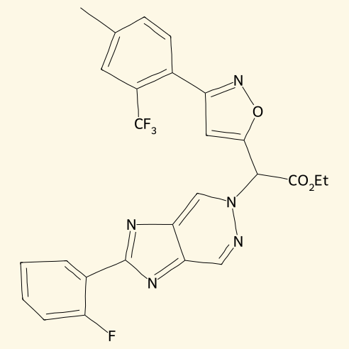 CCOC(=O)C(c1cc(-c2ccc(C)cc2C(F)(F)F)no1)n1cc2nc(-c3ccccc3F)nc-2cn1